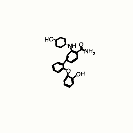 NC(=O)c1ccc(-c2ccccc2Oc2ccccc2O)cc1N[C@H]1CC[C@H](O)CC1